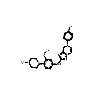 COc1cc(Nc2nc3n(n2)C=CN(c2ccc(O)cc2)C3)ccc1N1CCN(C)CC1